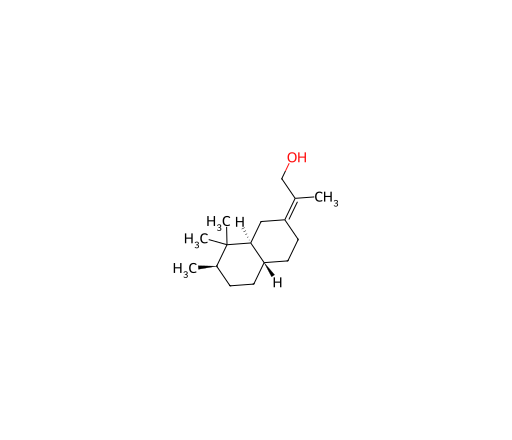 CC(CO)=C1CC[C@@H]2CC[C@@H](C)C(C)(C)[C@H]2C1